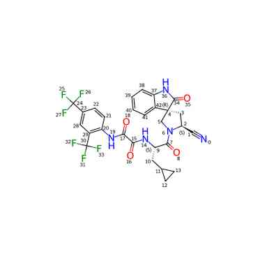 N#C[C@@H]1C[C@@]2(CN1C(=O)[C@H](CC1CC1)NC(=O)C(=O)Nc1ccc(C(F)(F)F)cc1C(F)(F)F)C(=O)Nc1ccccc12